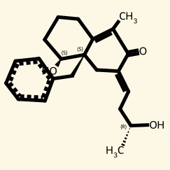 CC1=C2CCC[C@H](O)[C@@]2(Cc2ccccc2)CC(=CC[C@@H](C)O)C1=O